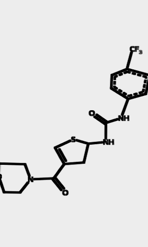 O=C(Nc1ccc(C(F)(F)F)cc1)NC1CC(C(=O)N2CCOCC2)=CS1